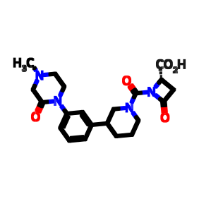 CN1CCN(c2cccc(C3CCCN(C(=O)N4C(=O)C[C@H]4C(=O)O)C3)c2)C(=O)C1